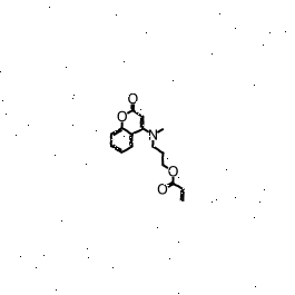 C=CC(=O)OCCCN(C)c1cc(=O)oc2ccccc12